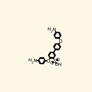 Nc1ccc(Oc2ccc(-c3ccc(Oc4ccc(N)cc4)c(S(=O)(=O)O)c3)cc2)cc1